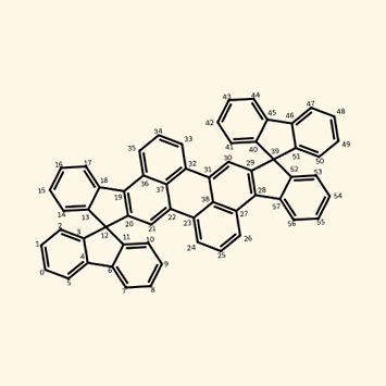 c1ccc2c(c1)-c1ccccc1C21c2ccccc2-c2c1cc1c3cccc4c5c(cc(c6cccc2c61)c43)C1(c2ccccc2-c2ccccc21)c1ccccc1-5